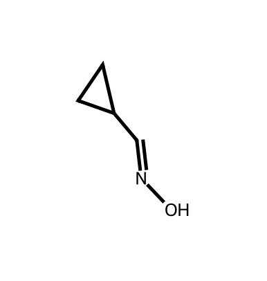 O/N=C/C1CC1